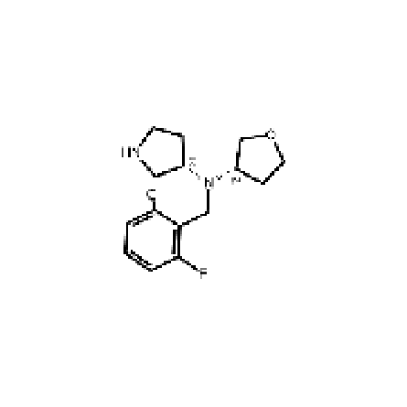 Fc1cccc(Cl)c1CN([C@H]1CCNC1)[C@H]1CCOC1